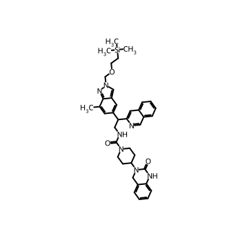 Cc1cc(C(CNC(=O)N2CCC(N3Cc4ccccc4NC3=O)CC2)c2cc3ccccc3cn2)cc2cn(COCC[Si](C)(C)C)nc12